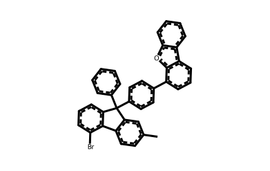 Cc1ccc2c(c1)C(c1ccccc1)(c1ccc(-c3cccc4c3oc3ccccc34)cc1)c1cccc(Br)c1-2